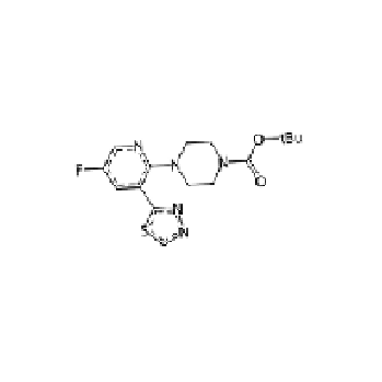 CC(C)(C)OC(=O)N1CCN(c2ncc(F)cc2-c2nncs2)CC1